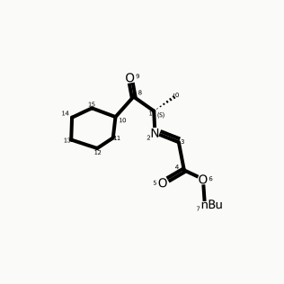 [CH2][C@H](N=CC(=O)OCCCC)C(=O)C1CCCCC1